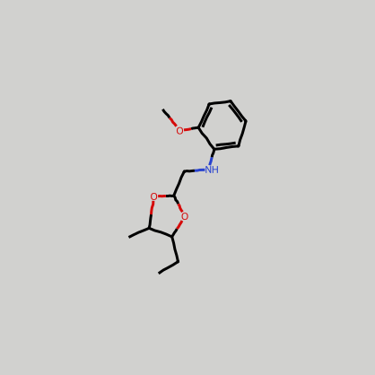 CCC1OC(CNc2ccccc2OC)OC1C